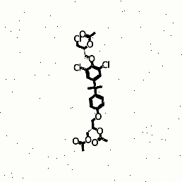 CC(=O)OC[C@H](COc1ccc(C(C)(C)c2cc(Cl)c(OC[C@H](CCl)OC(C)=O)c(Cl)c2)cc1)OC(C)=O